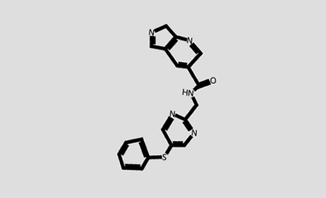 O=C(NCc1ncc(Sc2ccccc2)cn1)c1cnc2c(c1)C=NC2